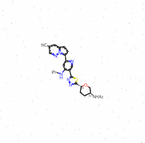 CC(=O)N[C@H]1CC[C@@H](c2nnc(-c3cnc(-c4ccc5cc(C#N)cnn45)cc3NC(C)C)s2)OC1